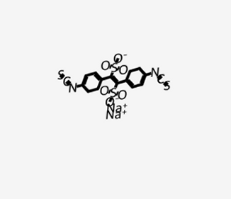 O=S(=O)([O-])C(C1=CC=C(N=C=S)CC1)=C(C1=CC=C(N=C=S)CC1)S(=O)(=O)[O-].[Na+].[Na+]